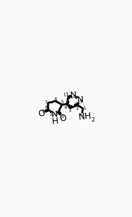 NCc1cc(C2CCC(=O)NC2=O)cnn1